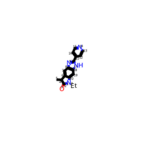 CCN1C(=O)C(C)c2cc3nc(-c4ccncc4)[nH]c3cc21